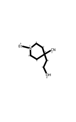 CCN1CCC(C#N)(CCO)CC1